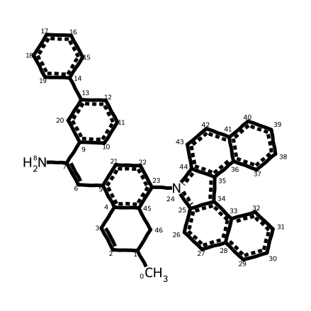 CC1C=Cc2c(/C=C(/N)c3cccc(-c4ccccc4)c3)ccc(-n3c4ccc5ccccc5c4c4c5ccccc5ccc43)c2C1